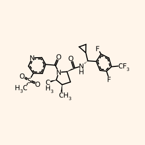 C[C@@H]1C[C@H](C(=O)N[C@@H](c2cc(F)c(C(F)(F)F)cc2F)C2CC2)N(C(=O)c2cncc(S(C)(=O)=O)c2)[C@@H]1C